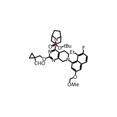 CCc1c(F)ccc2cc(OCOC)cc(N3CCc4c(nc(OCC5(C=O)CC5)nc4N4CC5CCC(C4)N5C(=O)OC(C)(C)C)C3)c12